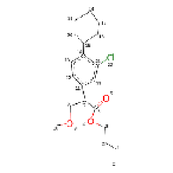 CCCCOC(=O)C(COC)c1ccc(C2CCCCC2)c(Cl)c1